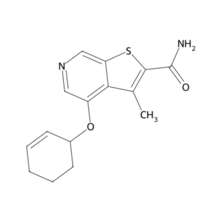 Cc1c(C(N)=O)sc2cncc(OC3C=CCCC3)c12